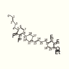 C/C=C/CCc1ccc(C2CCC(/C=C/CCc3ccc(OCC)c(F)c3F)CC2)c(F)c1F